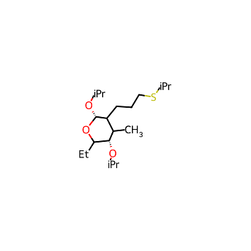 CCC1O[C@H](OC(C)C)C(CCCSC(C)C)C(C)[C@@H]1OC(C)C